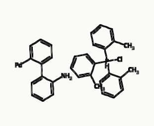 Cc1ccccc1[PH](Cl)(c1ccccc1C)c1ccccc1C.Nc1ccccc1-c1cccc[c]1[Pd]